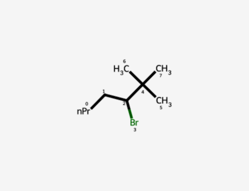 [CH2]CCCC(Br)C(C)(C)C